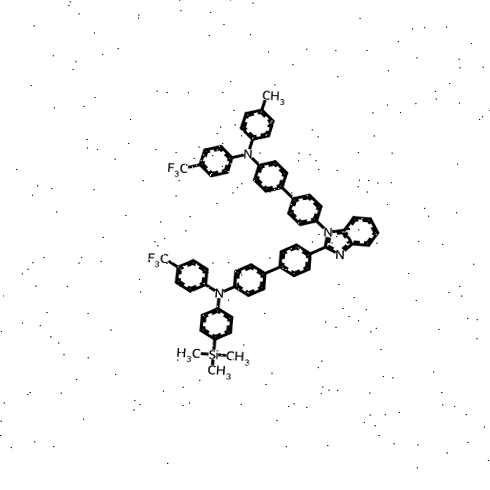 Cc1ccc(N(c2ccc(-c3ccc(-n4c(-c5ccc(-c6ccc(N(c7ccc(C(F)(F)F)cc7)c7ccc([Si](C)(C)C)cc7)cc6)cc5)nc5ccccc54)cc3)cc2)c2ccc(C(F)(F)F)cc2)cc1